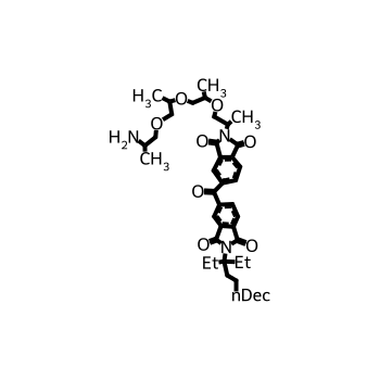 CCCCCCCCCCCCC(CC)(CC)N1C(=O)c2ccc(C(=O)c3ccc4c(c3)C(=O)N(C(C)COC(C)COC(C)COCC(C)N)C4=O)cc2C1=O